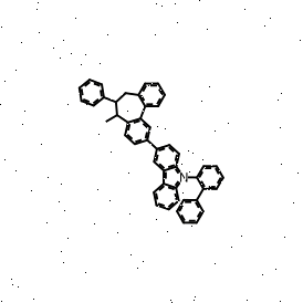 CC1c2ccc(-c3ccc4c(c3)c3ccccc3n4-c3ccccc3-c3ccccc3)cc2-c2ccccc2CC1c1ccccc1